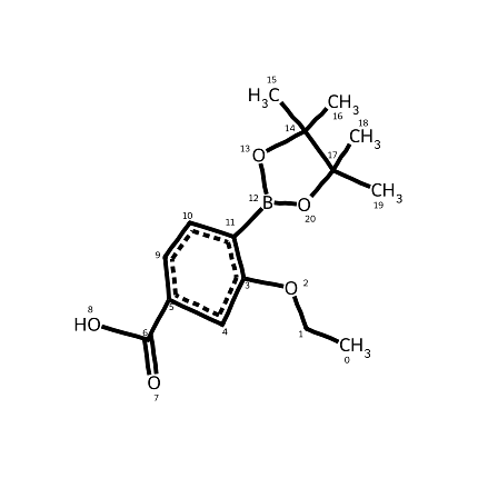 CCOc1cc(C(=O)O)ccc1B1OC(C)(C)C(C)(C)O1